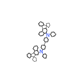 c1ccc(N(c2ccc(-c3ccc(N(c4ccccc4)c4cc5c(c6ccccc46)-c4ccccc4C54CCCC4)cc3)cc2)c2cc3c(c4ccccc24)-c2ccccc2C32CCCC2)cc1